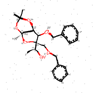 C[C@H](O)[C@]1(COCc2ccccc2)O[C@H]2OC(C)(C)OC2C1OCc1ccccc1